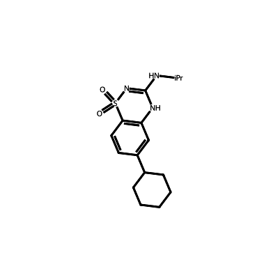 CC(C)NC1=NS(=O)(=O)c2ccc(C3CCCCC3)cc2N1